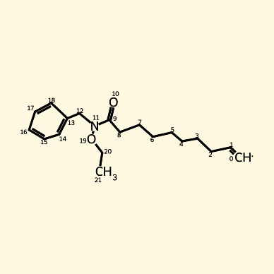 [CH]=CCCCCCCCC(=O)N(Cc1ccccc1)OCC